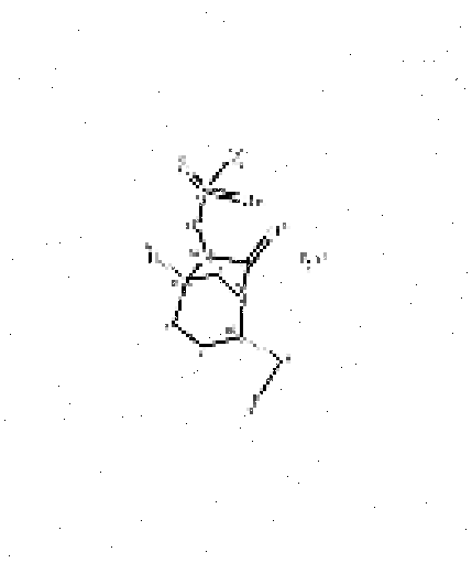 O=C1N2C[C@@H](CC[C@H]2CF)N1OS(=O)(=O)[O-].[Na+]